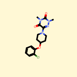 Cn1nc(N2CCC(Oc3ccccc3Cl)CC2)c(=O)n(C)c1=O